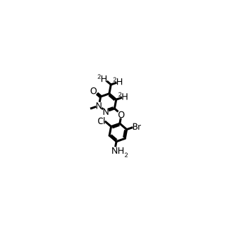 [2H]c1c(Oc2c(Cl)cc(N)cc2Br)nn(C)c(=O)c1C([2H])[2H]